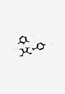 Cc1ccc(O)c(C)c1-n1c(N)c(C(N)=O)c2cnc(-c3ccc(C(C)(C)C)cc3)nc21